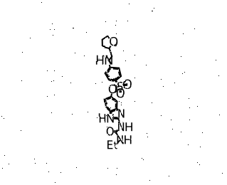 CCNC(=O)Nc1nc2cc(OS(=O)(=O)c3ccc(NCC4CCCO4)cc3)ccc2[nH]1